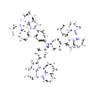 c1cnc2c(-n3c(-c4ccc(N(c5ccc(-c6nc7cccnc7n6-c6cccc7cccnc67)cc5)c5ccc(-c6nc7cccnc7n6-c6cccc7cccnc67)cc5)cc4)nc4cccnc43)cccc2c1